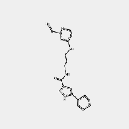 N=Nc1nccc(NCCCNC(=O)c2cc(-c3ccccc3)[nH]n2)n1